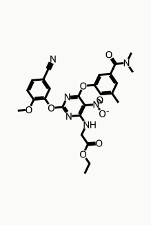 CCOC(=O)CNc1nc(Oc2cc(C#N)ccc2OC)nc(Oc2cc(C)cc(C(=O)N(C)C)c2)c1[N+](=O)[O-]